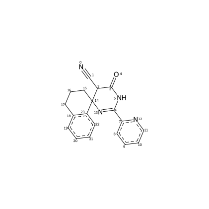 N#CC1C(=O)NC(c2ccccn2)=NC12CCCc1ccccc12